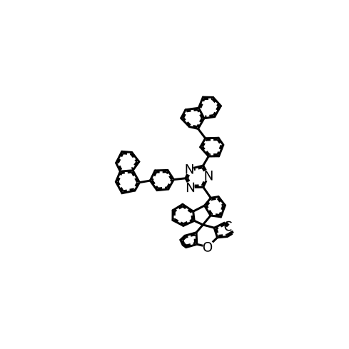 c1cc(-c2nc(-c3ccc(-c4cccc5ccccc45)cc3)nc(-c3cccc4c3-c3ccccc3C43c4ccccc4Oc4ccccc43)n2)cc(-c2cccc3ccccc23)c1